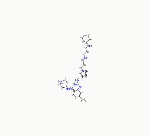 Cc1ccc2c(NC3CCNCC3)nc(NCc3cn(CCCNCCCNC4CCCCC4)nn3)nc2c1